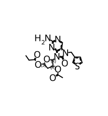 CCC(=O)O[C@H]1C[C@@H](OC(C)=O)[C@H](n2c(=O)n(Cc3ccsc3)c3cnc(N)nc32)O1